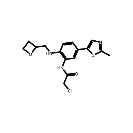 Cc1ncc(-c2ccc(NCC3CCO3)c(NC(=O)CCl)c2)s1